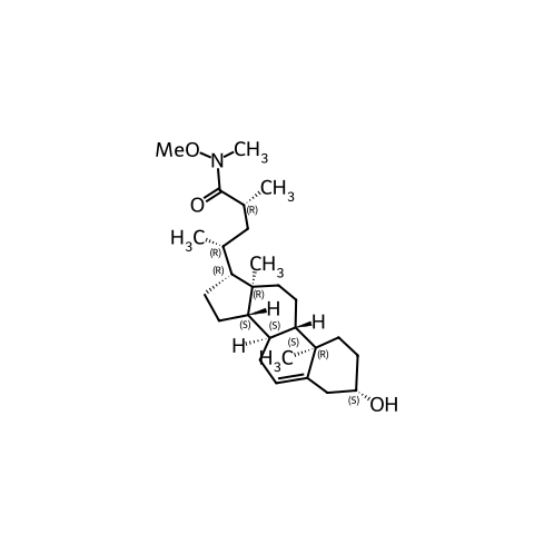 CON(C)C(=O)[C@H](C)C[C@@H](C)[C@H]1CC[C@H]2[C@@H]3CC=C4C[C@@H](O)CC[C@]4(C)[C@H]3CC[C@]12C